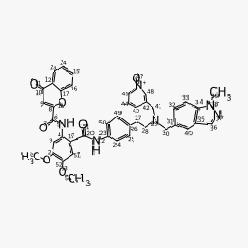 COc1cc(NC(=O)c2cc(=O)c3ccccc3o2)c(C(=O)Nc2ccc(CCN(Cc3ccc4c(cnn4C)c3)Cc3ccc[n+]([O-])c3)cc2)cc1OC